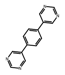 c1ncc(-c2ccc(-c3cncnc3)cc2)cn1